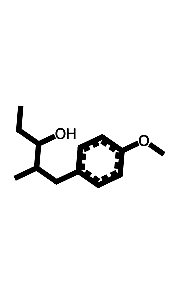 CCC(O)C(C)Cc1ccc(OC)cc1